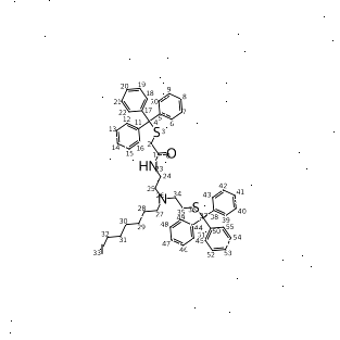 O=C(CSC(c1ccccc1)(c1ccccc1)c1ccccc1)NCCN(CCCCCCI)CCSC(c1ccccc1)(c1ccccc1)c1ccccc1